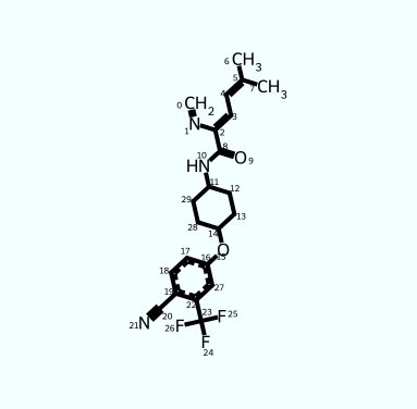 C=N/C(=C\C=C(C)C)C(=O)NC1CCC(Oc2ccc(C#N)c(C(F)(F)F)c2)CC1